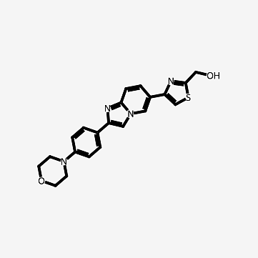 OCc1nc(-c2ccc3nc(-c4ccc(N5CCOCC5)cc4)cn3c2)cs1